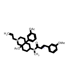 C=CCN1CCC2(c3cccc(OC(C)=O)c3)CC(N(C)C(=O)/C=C/c3cccc(OC)c3)CCC2(OC(C)=O)C1